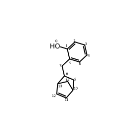 Oc1ccccc1CC1CC2C=CC1C2